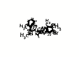 Cc1nc(C(=O)N2CCCC2(C)c2nc3c(C)c(C)c(Br)cc3[nH]2)c(-c2ccccc2C)s1